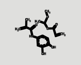 C=C(C)C(=O)Nc1ccc(O)c(O)c1.C=CC(=O)OC(C)OC